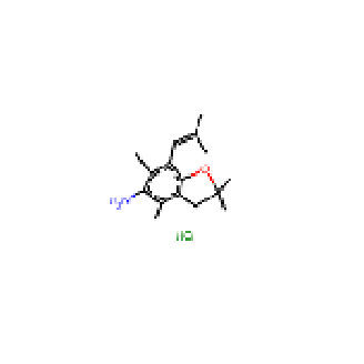 CC(C)=Cc1c(C)c(N)c(C)c2c1OC(C)(C)C2.Cl